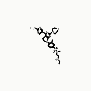 CCNCCN(C)S(=O)(=O)c1ccc(N2CCc3c(-c4cnc(N)nc4)nc(N4CCOCC4)nc32)c(C)c1